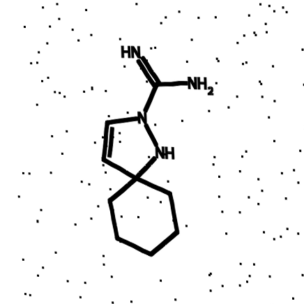 N=C(N)N1C=CC2(CCCCC2)N1